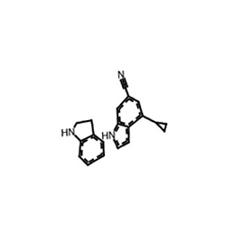 N#Cc1cc(C2CC2)c2cc[nH]c2c1.c1ccc2c(c1)CCN2